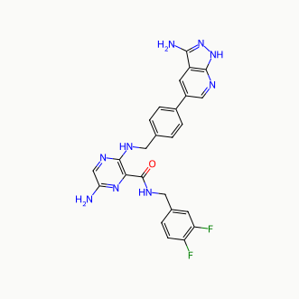 Nc1cnc(NCc2ccc(-c3cnc4[nH]nc(N)c4c3)cc2)c(C(=O)NCc2ccc(F)c(F)c2)n1